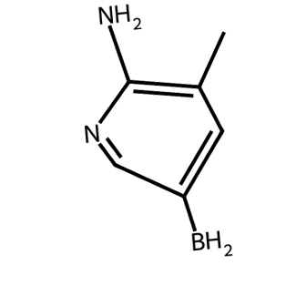 Bc1cnc(N)c(C)c1